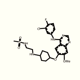 COc1cc2ncnc(Nc3ccc(F)c(Cl)c3)c2cc1OC1CCC(NCCNS(C)(=O)=O)CC1